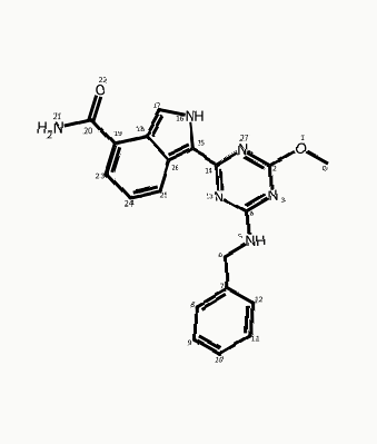 COc1nc(NCc2ccccc2)nc(-c2[nH]cc3c(C(N)=O)cccc23)n1